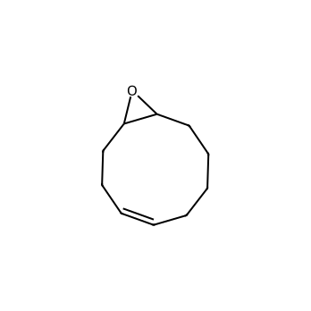 C1=CCCC2OC2CCCC1